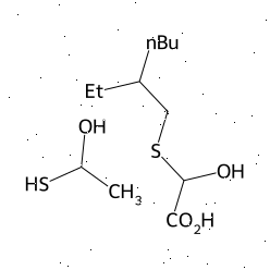 CC(O)S.CCCCC(CC)CSC(O)C(=O)O